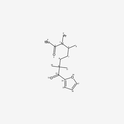 CC(C)N(C(=O)C(C)(C)C)C(C)CCC(C)(C)C(=O)c1ccco1